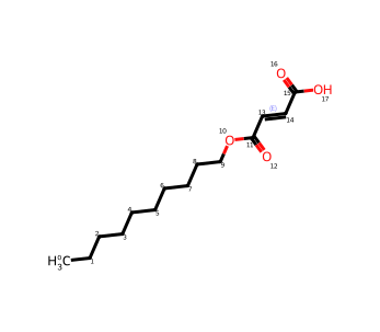 CCCCCCCCCCOC(=O)/C=C/C(=O)O